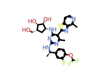 Cc1nc(N[C@H](C)c2ccc(OC(F)F)c(F)c2)nc(N[C@@H]2C[C@H](CO)[C@@H](O)[C@H]2O)c1-c1nc2c(C)nccc2s1